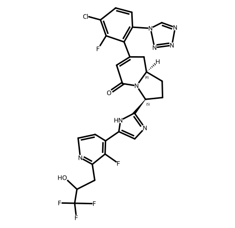 O=C1C=C(c2c(-n3cnnn3)ccc(Cl)c2F)C[C@H]2CC[C@@H](c3ncc(-c4ccnc(CC(O)C(F)(F)F)c4F)[nH]3)N12